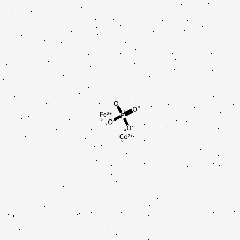 O=P([O-])([O-])[O-].[Co+2].[Fe+2]